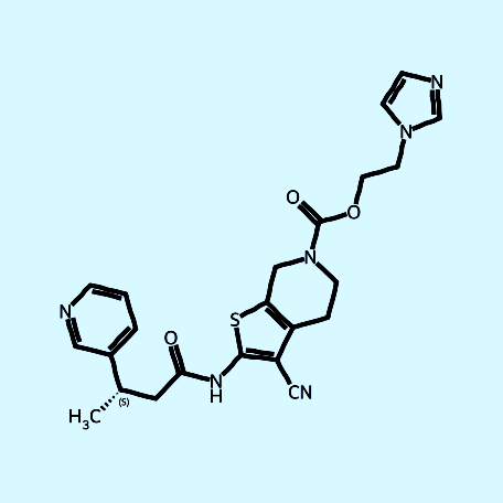 C[C@@H](CC(=O)Nc1sc2c(c1C#N)CCN(C(=O)OCCn1ccnc1)C2)c1cccnc1